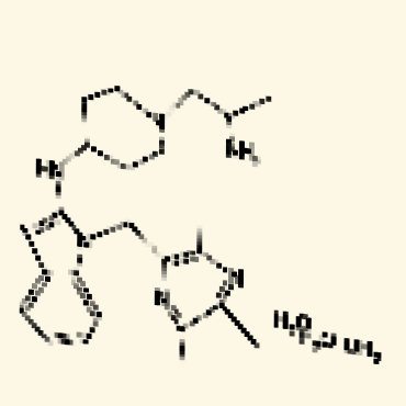 Cc1nc(C)c(Cn2c(NC3CCN(CC(C)N)CC3)nc3ccccc32)nc1C.O.O.O